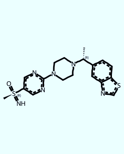 C[C@H](c1ccc2scnc2c1)N1CCN(c2ncc([S@](C)(=N)=O)cn2)CC1